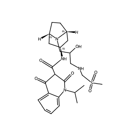 CC(C)N1C(=O)C(C(=O)N[C@@H]2C[C@H]3CC[C@@H](C2)N3CC(O)CNCS(C)(=O)=O)C(=O)c2ccccc21